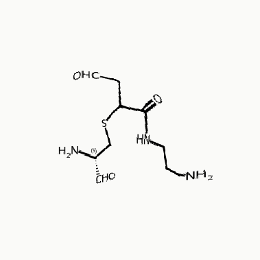 NCCNC(=O)C(CC=O)SC[C@@H](N)C=O